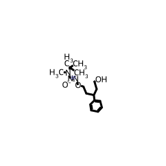 CN(/[N+]([O-])=N/OCCC(CCO)c1ccccc1)C(C)(C)C